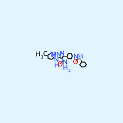 Cc1ccc(Nc2[nH]nc(-c3ccc(NC(=O)Cc4ccccc4)cc3)c2C(N)=O)nc1